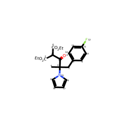 CCOC(=O)C(C(=O)OCC)C(=O)C(C)(Cc1ccc(F)cc1)n1cccc1